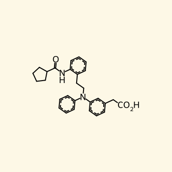 O=C(O)Cc1cccc(N(CCc2ccccc2NC(=O)C2CCCC2)c2ccccc2)c1